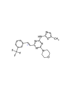 Cc1cnc(Nc2nc(/C=C/c3cccc(C(F)(F)F)c3)nc(N3CCOCC3)n2)s1